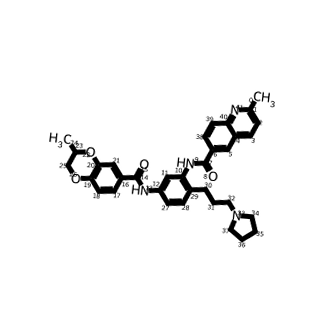 Cc1ccc2cc(C(=O)Nc3cc(NC(=O)c4ccc5c(c4)OC(C)CO5)ccc3CCCN3CCCC3)ccc2n1